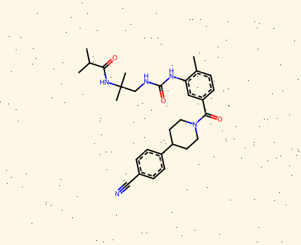 Cc1ccc(C(=O)N2CCC(c3ccc(C#N)cc3)CC2)cc1NC(=O)NCC(C)(C)NC(=O)C(C)C